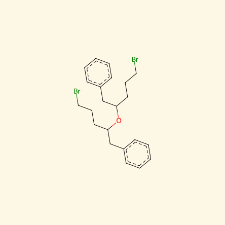 BrCCCC(Cc1ccccc1)OC(CCCBr)Cc1ccccc1